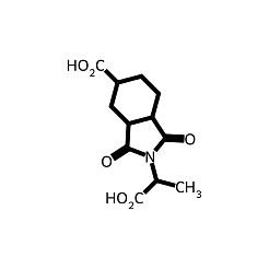 CC(C(=O)O)N1C(=O)C2CCC(C(=O)O)CC2C1=O